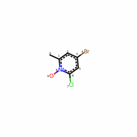 Cc1cc(Br)cc(Cl)[n+]1[O-]